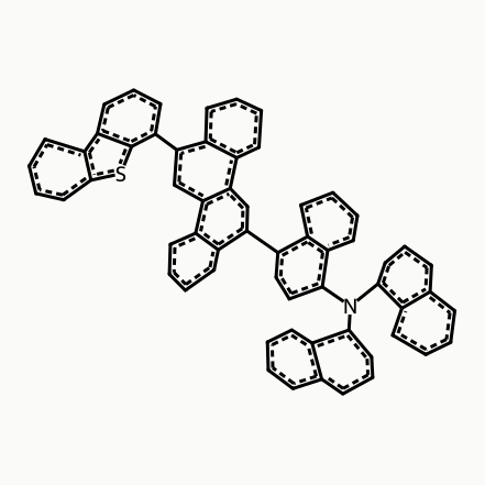 c1ccc2c(N(c3cccc4ccccc34)c3ccc(-c4cc5c6ccccc6c(-c6cccc7c6sc6ccccc67)cc5c5ccccc45)c4ccccc34)cccc2c1